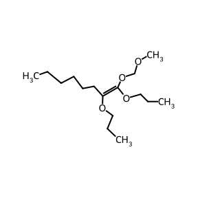 CCCCCCC(OCCC)=C(OCCC)OCOC